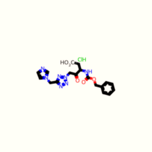 Cl.O=C(O)CC(NC(=O)OCc1ccccc1)C(=O)Cn1nnc(Cn2ccnc2)n1